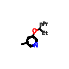 CCC[C@@H](CC)Oc1cncc(C)c1